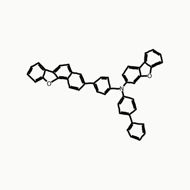 c1ccc(-c2ccc(N(c3ccc(-c4ccc5c(ccc6c7ccccc7oc56)c4)cc3)c3ccc4c(c3)oc3ccccc34)cc2)cc1